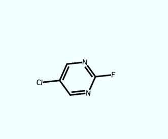 Fc1ncc(Cl)cn1